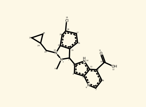 CN1C(c2cc3nccc(C(=O)O)c3[nH]2)c2ccc(Cl)cc2N1CC1CC1